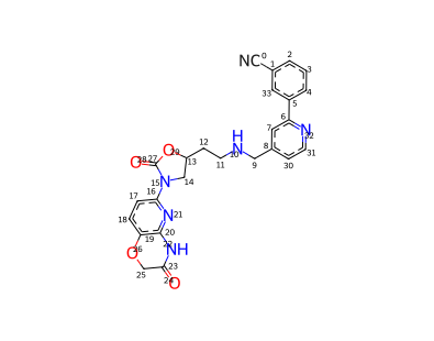 N#Cc1cccc(-c2cc(CNCCC3CN(c4ccc5c(n4)NC(=O)CO5)C(=O)O3)ccn2)c1